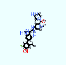 CCc1cc(O)c(F)cc1-c1ccc2c(-c3nc4c([nH]3)CN(C)[C@H](C(=O)N3CCNC[C@@H]3C)C4)n[nH]c2c1